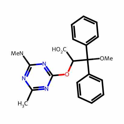 CNc1nc(C)nc(OC(C(=O)O)C(OC)(c2ccccc2)c2ccccc2)n1